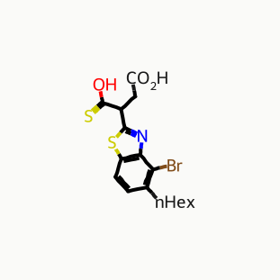 CCCCCCc1ccc2sc(C(CC(=O)O)C(O)=S)nc2c1Br